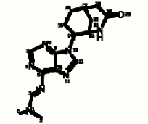 CN(C)C=Nc1ncnc2c1ncn2C1CCC2CC(=O)NC1C2